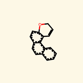 C1=Cc2c(ccc3ccc4ccccc4c23)OC1